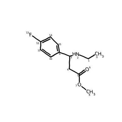 CCNC(CC(=O)OC)c1ccc(F)cc1